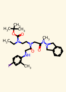 CCN(CCN(CC(=O)N(C)N1Cc2ccccc2C1)C(=O)CNc1ccc(I)cc1C)C(=O)OC(C)(C)C